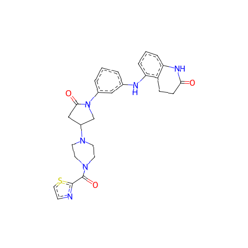 O=C1CCc2c(cccc2Nc2cccc(N3CC(N4CCN(C(=O)c5nccs5)CC4)CC3=O)c2)N1